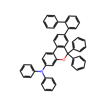 c1ccc(-c2ccccc2-c2ccc3c(c2)C(c2ccccc2)(c2ccccc2)Oc2cc(N(c4ccccc4)c4ccccc4)ccc2-3)cc1